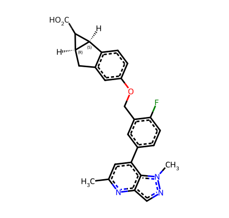 Cc1cc(-c2ccc(F)c(COc3ccc4c(c3)C[C@H]3C(C(=O)O)[C@@H]43)c2)c2c(cnn2C)n1